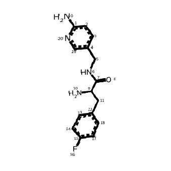 Nc1ccc(CNC(=O)C(N)Cc2ccc(F)cc2)cn1